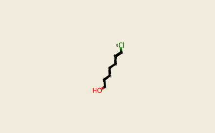 OCCCCCCCCl